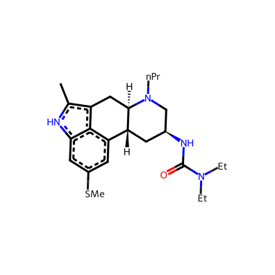 CCCN1C[C@@H](NC(=O)N(CC)CC)C[C@@H]2c3cc(SC)cc4[nH]c(C)c(c34)C[C@H]21